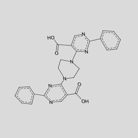 O=C(O)c1cnc(-c2ccccc2)nc1N1CCN(c2nc(-c3ccccc3)ncc2C(=O)O)CC1